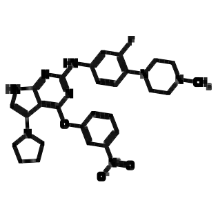 CN1CCN(c2ccc(Nc3nc(Oc4cccc([N+](=O)[O-])c4)c4c(N5CCCC5)c[nH]c4n3)cc2F)CC1